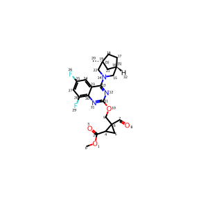 COC(=O)C1CC1(C=O)COc1nc(N2C[C@H]3CC[C@@](C)(C3)C2)c2cc(F)cc(F)c2n1